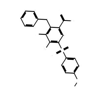 COc1ccc(S(=O)(=O)c2cc(C(=O)O)c(Cc3ccccc3)c(C)c2N)cc1